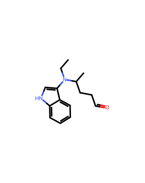 CCN(c1c[nH]c2ccccc12)C(C)CC[C]=O